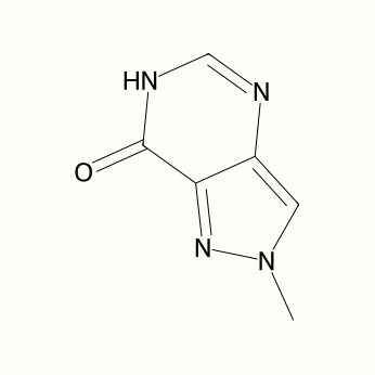 Cn1cc2nc[nH]c(=O)c2n1